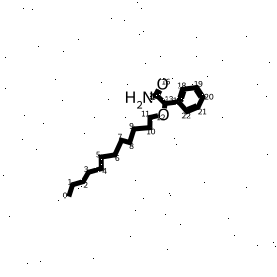 CCCCCCCCCCCCOC(C(N)=O)c1ccccc1